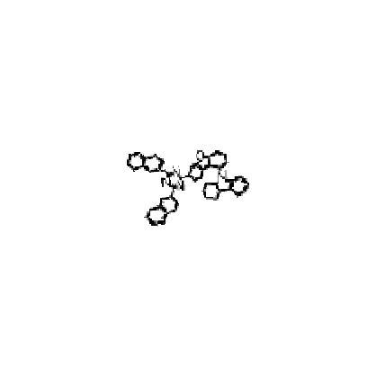 c1ccc2cc(-c3nc(-c4ccc5ccccc5c4)nc(-c4ccc5c(c4)oc4cccc(-n6c7ccccc7c7ccccc76)c45)n3)ccc2c1